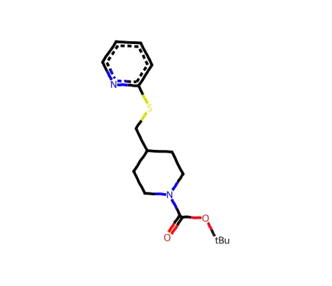 CC(C)(C)OC(=O)N1CCC(CSc2ccccn2)CC1